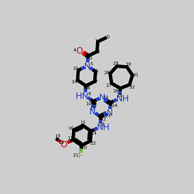 CCCC(=O)N1CCC(Nc2nc(Nc3ccc(OC)c(F)c3)nc(NC3CCCCCC3)n2)CC1